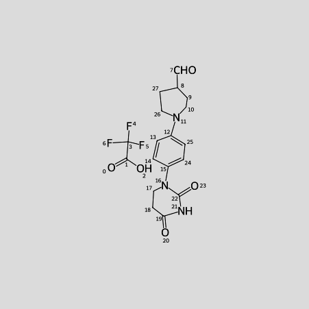 O=C(O)C(F)(F)F.O=CC1CCN(c2ccc(N3CCC(=O)NC3=O)cc2)CC1